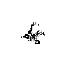 CCCC#Cc1ccc(-c2c(CNS(=O)(=O)N(C)C)c(C(=O)NN3CCCCC3)nn2-c2ccc(Cl)cc2Cl)s1